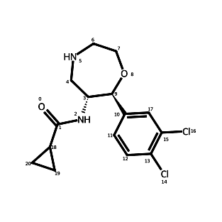 O=C(N[C@@H]1CNCCO[C@H]1c1ccc(Cl)c(Cl)c1)C1CC1